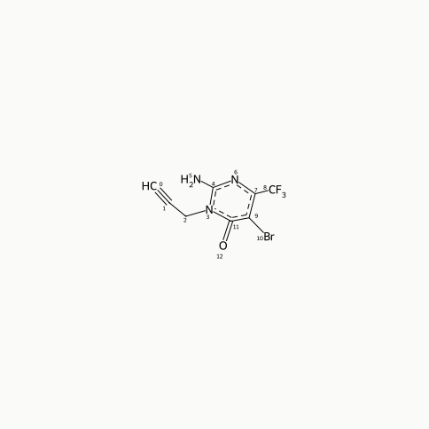 C#CCn1c(N)nc(C(F)(F)F)c(Br)c1=O